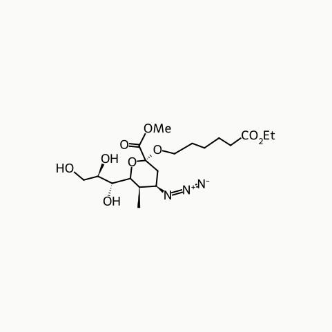 CCOC(=O)CCCCCO[C@]1(C(=O)OC)C[C@@H](N=[N+]=[N-])[C@@H](C)C([C@H](O)[C@H](O)CO)O1